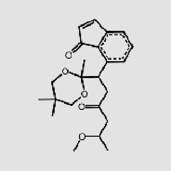 COC(C)CC(=O)CC(c1cccc2c1C(=O)C=C2)C1(C)OCC(C)(C)CO1